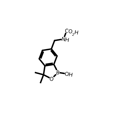 CC1(C)OB(O)c2cc(CNC(=O)O)ccc21